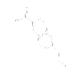 CC=COc1ccc2cc(C(=O)Cl)ccc2c1